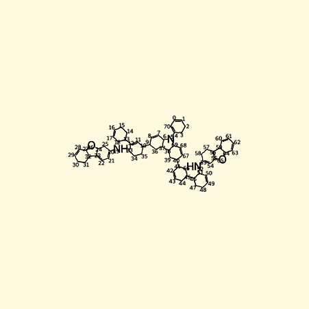 C1=CCCC(N2C3C=CC(C4C=C(C5CCC=CC5NC5=CC=C6C(C5)OC5C=CCCC65)CCC4)CC3C3CC(C4C=CCC(C5CCC=CC5NC5=CC6=C(CC5)C5C=CC=CC5O6)C4)C=CC32)=C1